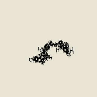 CC(=N)N1C(=N)[C@H](CC(=O)NN2CCN(C(=O)CCCCNc3cccc4c3C(=O)N(C3CCC(=O)NC3=O)C4=O)CC2)N=C(c2ccc(Cl)cc2)c2c1sc(C)c2C